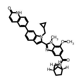 COc1cc(C(=O)N2C[C@H]3CC[C@@H]2[C@@H]3N)cc2nc(-c3cc4ccc(-c5ccc6[nH]c(=O)ccc6c5)cc4n3CC3CC3)n(C)c12